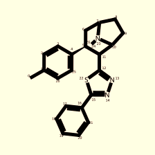 Cc1ccc([C@H]2CC3CCC(C2c2nnc(-c4ccccc4)s2)N3C)cc1